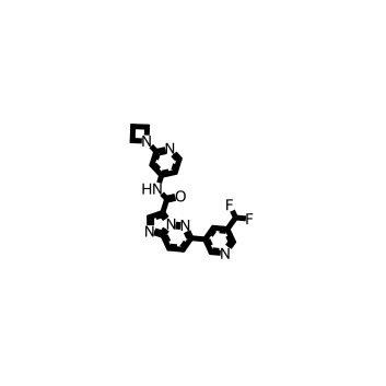 O=C(Nc1ccnc(N2CCC2)c1)c1cnc2ccc(-c3cncc(C(F)F)c3)nn12